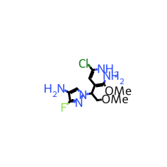 COCC(C(/C=C(\N)Cl)=C(/N)OC)n1cc(N)c(F)n1